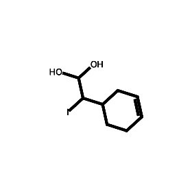 OC(O)C(I)C1CC=CCC1